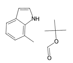 CC(C)(C)OC=O.Cc1cccc2cc[nH]c12